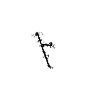 CCCOCCOCCOCCOCCOCCC(=O)NCCCOCCOCCOCCCNC(=O)[C@H](CCCCNC(=O)CCCCCCCCC1=C(C)CCCC1(C)C)NC(=O)CCCCCCCCC1=C(C)CCCC1(C)C